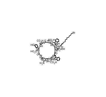 CC(C)CCCCCCCCC/C=C/C(=O)N[C@@H](CO)C(=O)N[C@@H]1C(=O)N[C@H](Cc2c[nH]c3ccccc23)C(=O)N[C@@H](CC(=O)O)C(=O)N[C@@H](CC(=O)O)C(=O)N[C@H](c2ccc(O)cc2)C(=O)N[C@@H](CC(=O)O)C(=O)NCC(=O)N[C@H]([C@H](O)C(N)=O)C(=O)N[C@H](CCC(=O)O)C(=O)N/C(=C\c2c[nH]c3ccccc23)C(=O)O[C@@H]1C